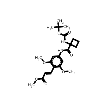 COC(=O)/C=C/c1c(OC)cc(NC(=O)C2(NC(=O)OC(C)(C)C)CCC2)cc1OC